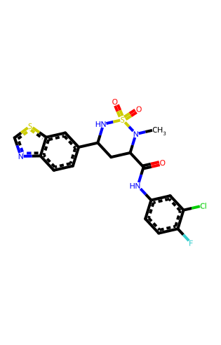 CN1C(C(=O)Nc2ccc(F)c(Cl)c2)CC(c2ccc3ncsc3c2)NS1(=O)=O